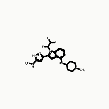 CNc1cc(-c2cc3c(NC4CCN(C)CC4)cccc3n2C(F)C(F)F)n[nH]1